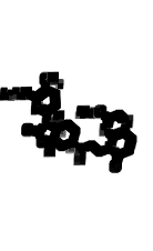 COc1cnc2ccc(=O)n(CCN[C@H]3CC[C@H]4[C@H](C3)OC(=O)N4c3ccc(C)c(NC(C)=O)n3)c2n1